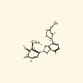 Cc1c(N2Cc3cccc(N4CCC(O)C4)c3C2)cn[nH]c1=O